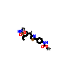 C/C=C(\C[C@@H](C)[C@H](C)C1CSC(C2CCC(NC(=O)OC(C)C)CC2)=N1)S(=O)(=O)NCC